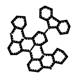 c1ccc2c(c1)sc1cccc3c1n2c1cc(-n2c4ccccc4c4ccccc42)cc2c1-n3c1cccc3sc4ccccc4n2c31